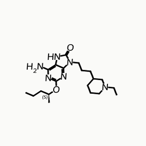 CCC[C@H](C)Oc1nc(N)c2[nH]c(=O)n(CCCC3CCCN(CC)C3)c2n1